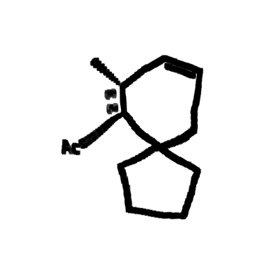 CC(=O)[C@H]1[C@H](C)C=CCC12CCCC2